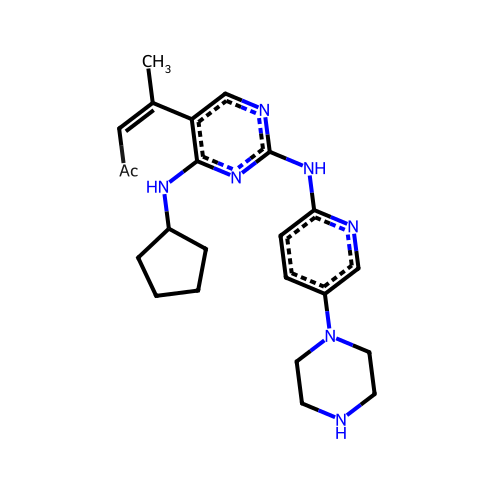 CC(=O)/C=C(/C)c1cnc(Nc2ccc(N3CCNCC3)cn2)nc1NC1CCCC1